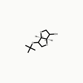 CC(C)(C)OC1CO[C@@H]2C(O)CO[C@H]12